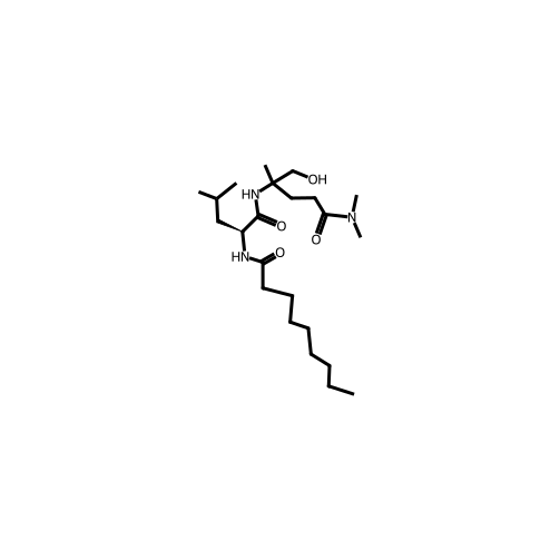 CCCCCCCCC(=O)N[C@@H](CC(C)C)C(=O)NC(C)(CO)CCC(=O)N(C)C